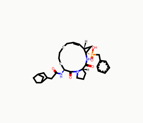 O=C(CC1CC2CCC1C2)N[C@H]1CCCCC/C=C\[C@@H]2C[C@@]2(P(=O)(O)Cc2ccccc2)NC(=O)[C@@H]2CCCN2C1=O